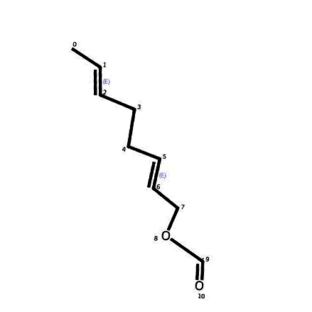 C/C=C/CC/C=C/CO[C]=O